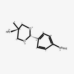 CCCCCc1ccc([C@H]2OC[C@](C)(CCC)CO2)cc1